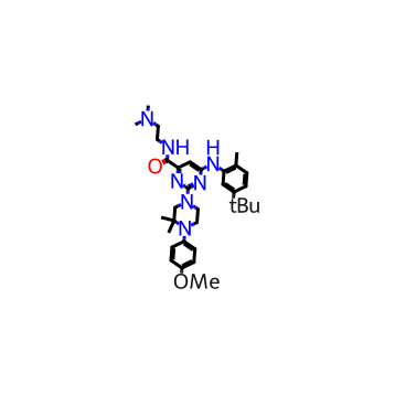 COc1ccc(N2CCN(c3nc(Nc4cc(C(C)(C)C)ccc4C)cc(C(=O)NCCN(C)C)n3)CC2(C)C)cc1